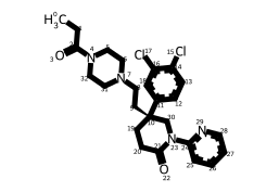 CCC(=O)N1CCN(CC[C@]2(c3ccc(Cl)c(Cl)c3)CCC(=O)N(c3ccccn3)C2)CC1